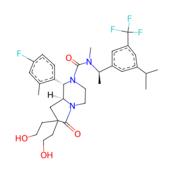 Cc1cc(F)ccc1[C@H]1[C@@H]2CC(CCO)(CCO)C(=O)N2CCN1C(=O)N(C)[C@H](C)c1cc(C(C)C)cc(C(F)(F)F)c1